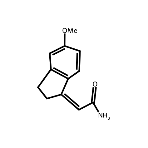 COc1ccc2c(c1)CC/C2=C/C(N)=O